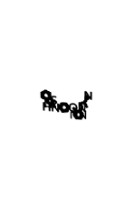 N#CC1CN(c2nccnc2Oc2ccc(Nc3nc4ccccc4s3)cc2)C1